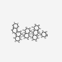 c1ccc2c(c1)ccc1c3ccccc3c(-c3cccc4c(-c5c6ccccc6c(-c6ccncc6)c6ccccc56)cccc34)cc21